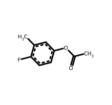 CC(=O)Oc1ccc(F)c(C)c1